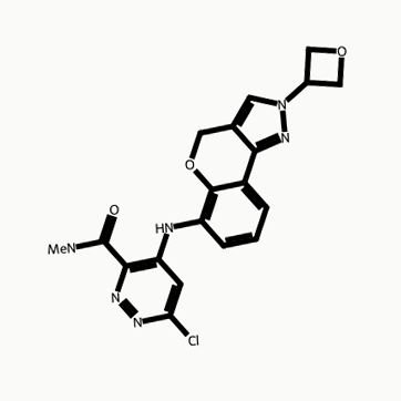 CNC(=O)c1nnc(Cl)cc1Nc1cccc2c1OCc1cn(C3COC3)nc1-2